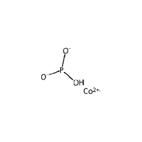 [Co+2].[O-]P([O-])O